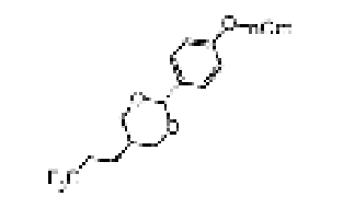 CCCCCCCCOc1ccc([C@H]2OC[C@H](CCC(F)(F)F)CO2)cc1